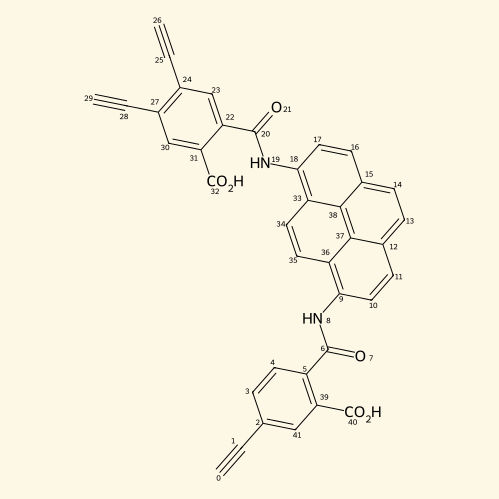 C#Cc1ccc(C(=O)Nc2ccc3ccc4ccc(NC(=O)c5cc(C#C)c(C#C)cc5C(=O)O)c5ccc2c3c45)c(C(=O)O)c1